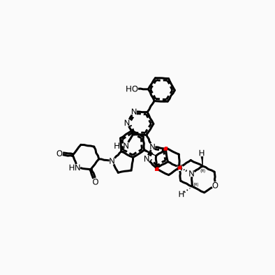 Nc1nnc(-c2ccccc2O)cc1-n1cc(N2C[C@@H]3COC[C@@H](C2)N3[C@H]2CC[C@H](c3cccc4c3CCN4C3CCC(=O)NC3=O)CC2)cn1